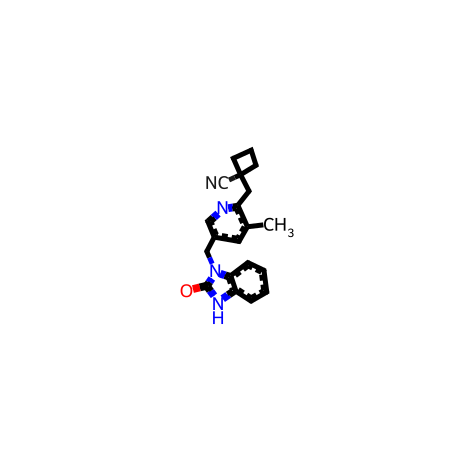 Cc1cc(Cn2c(=O)[nH]c3ccccc32)cnc1CC1(C#N)CCC1